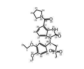 CCOc1cc([C@H](CS(C)(=O)=O)n2c(=O)[nH]c3c(C(=O)N4CCCC4)cccc32)ccc1OC